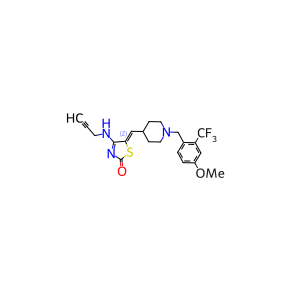 C#CCNC1=NC(=O)S/C1=C\C1CCN(Cc2ccc(OC)cc2C(F)(F)F)CC1